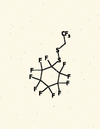 FC(F)(F)CSSC1(F)C(F)(F)C(F)(F)C(F)(F)C(F)(F)C1(F)F